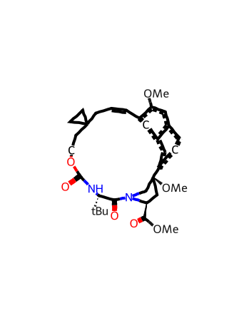 COC(=O)[C@@H]1C[C@]2(OC)CN1C(=O)[C@H](C(C)(C)C)NC(=O)OCCC1(CC=Cc3cc4cc2ccc4cc3OC)CC1